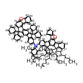 CCCCCCCC1(CCCCCCC)c2ccccc2-c2c1c1c(c3c2oc2ccccc23)-c2ccc(N(c3ccc4c(c3)C(c3ccccc3)(c3ccccc3)c3cc5c(cc3-4)C(c3ccccc3)(c3ccccc3)c3ccc4oc6ccccc6c4c3-5)c3c(C)cc(C)cc3C)cc2C1(CCCCCCC)CCCCCCC